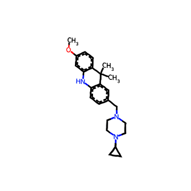 COc1ccc2c(c1)Nc1ccc(CN3CCN(C4CC4)CC3)cc1C2(C)C